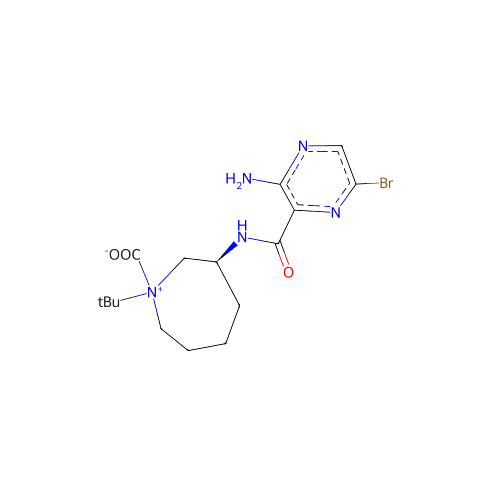 CC(C)(C)[N+]1(C(=O)[O-])CCCC[C@H](NC(=O)c2nc(Br)cnc2N)C1